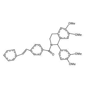 COc1ccc(C2c3cc(OC)c(OC)cc3CCN2C(=O)c2ccc(/C=C/c3ccccc3)cc2)cc1OC